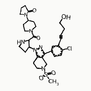 CS(=O)(=O)N1CCc2c(c(-c3ccc(Cl)c(C#CCCO)c3)nn2C2CCNC2C(=O)N2CCC(N3CCCC3=O)CC2)C1